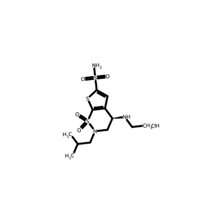 CCN[C@H]1CN(CC(C)C)S(=O)(=O)c2sc(S(N)(=O)=O)cc21.Cl